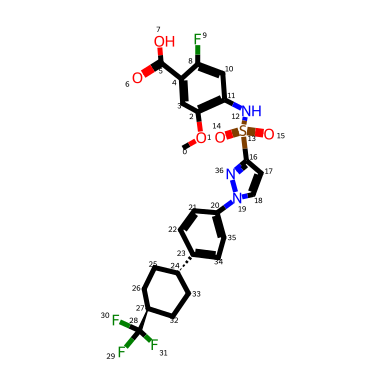 COc1cc(C(=O)O)c(F)cc1NS(=O)(=O)c1ccn(-c2ccc([C@H]3CC[C@H](C(F)(F)F)CC3)cc2)n1